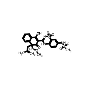 C=C(C)CC1(NOC)C(=O)C(C2=NS(=O)(=O)c3cc(NS(C)(=O)=O)ccc3N2)=C(O)c2ccccc21